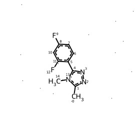 Cc1nnc(-c2ccc(F)cc2F)n1C